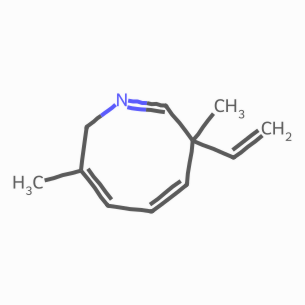 C=CC1(C)/C=C\C=C(\C)C/N=C\1